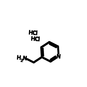 Cl.Cl.NCc1cccnc1